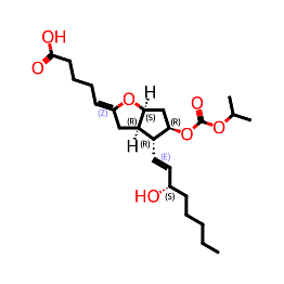 CCCCC[C@H](O)/C=C/[C@@H]1[C@H]2C/C(=C/CCCC(=O)O)O[C@H]2C[C@H]1OC(=O)OC(C)C